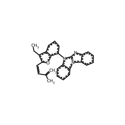 C=C(C)/C=C\c1oc2c(-n3c4ccccc4n4c5ccccc5nc34)cccc2c1CC